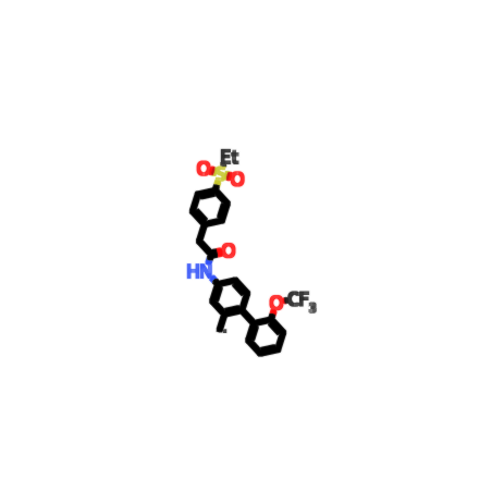 [CH2]c1cc(NC(=O)Cc2ccc(S(=O)(=O)CC)cc2)ccc1-c1ccccc1OC(F)(F)F